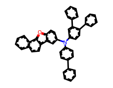 c1ccc(-c2ccc(N(c3ccc(-c4ccccc4)c(-c4ccccc4)c3)c3ccc4oc5c6ccccc6ccc5c4c3)cc2)cc1